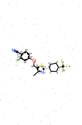 Cc1nc([C@H]2CC[C@H](C(F)(F)F)CC2)sc1COc1ccc(C#N)c(F)c1